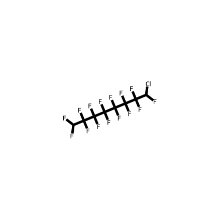 FC(F)C(F)(F)C(F)(F)C(F)(F)C(F)(F)C(F)(F)C(F)(F)C(F)Cl